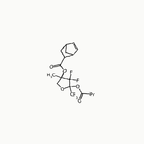 CC(C)C(=O)OC1(C(F)(F)F)OCC(C)(OC(=O)C2CC3C=CC2C3)C1(F)F